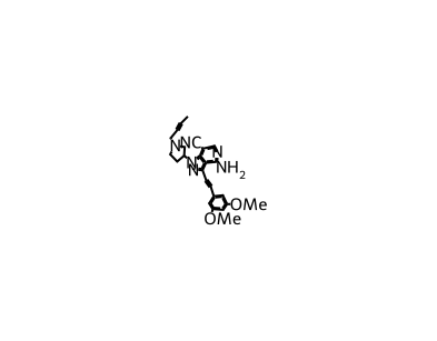 CC#CCN1CCC(n2nc(C#Cc3cc(OC)cc(OC)c3)c3c(N)ncc(C#N)c32)C1